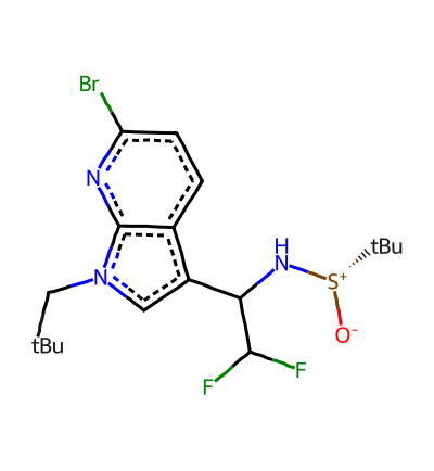 CC(C)(C)Cn1cc(C(N[S@@+]([O-])C(C)(C)C)C(F)F)c2ccc(Br)nc21